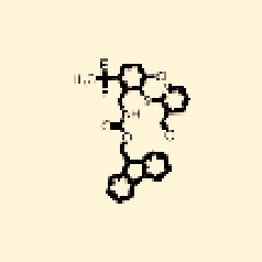 CC(F)(F)c1ccc(Cl)c(Sc2ncccc2C=O)c1CNC(=O)OCC1c2ccccc2-c2ccccc21